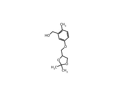 Cc1ccc(OCC2COC(C)(C)O2)cc1CO